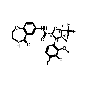 COc1c([C@H]2[C@H](C(=O)Nc3ccc4c(c3)C(=O)NCCO4)O[C@@](C)(C(F)(F)F)[C@H]2C)ccc(F)c1F